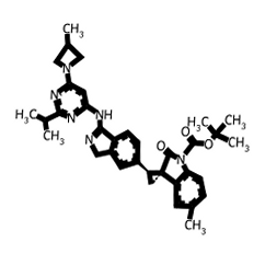 Cc1ccc2c(c1)[C@]1(C[C@H]1c1ccc3c(c1)CN=C3Nc1cc(N3CC(C)C3)nc(C(C)C)n1)C(=O)N2C(=O)OC(C)(C)C